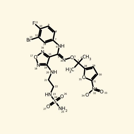 CC(C)(O/N=C(\Nc1ccc(F)c(Br)c1)c1nonc1NCCNS(N)(=O)=O)c1ccc([N+](=O)[O-])o1